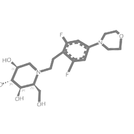 OC[C@H]1[C@@H](O)[C@H](O)[C@@H](O)CN1CCc1c(F)cc(N2CCOCC2)cc1F